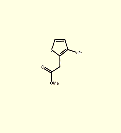 CCCc1ccsc1CC(=O)OC